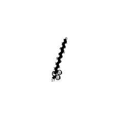 CCCCC=CCCCCCCCC(=O)OC(C)=O